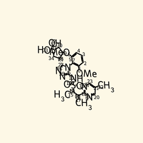 COc1cccc(OC)c1-n1c(NS(=O)(=O)[C@@H](C)[C@H](C)c2ncc(C)cn2)nnc1[C@H]1CCS(O)(O)C1